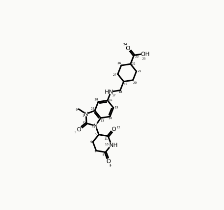 Cn1c(=O)n(C2CCC(=O)NC2=O)c2ccc(NCC3CCC(C(=O)O)CC3)cc21